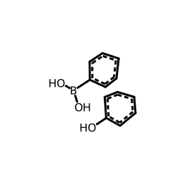 OB(O)c1ccccc1.Oc1ccccc1